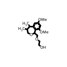 COc1cc(OC)c2c(c1)C(C)C(C)COC2COCCO